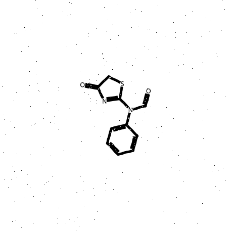 O=CN(C1=NC(=O)CS1)c1ccccc1